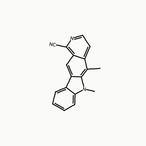 Cc1c2ccnc(C#N)c2cc2c3ccccc3n(C)c12